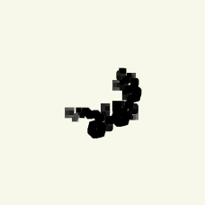 COC1N=Cc2ccc(C(=O)Nc3cc(C(=O)NC(CCCN)c4ccccc4)ccc3Cl)nc2N1